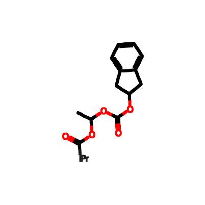 CC(OC(=O)OC1Cc2ccccc2C1)OC(=O)C(C)C